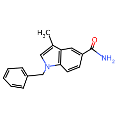 Cc1cn(Cc2ccccc2)c2ccc(C(N)=O)cc12